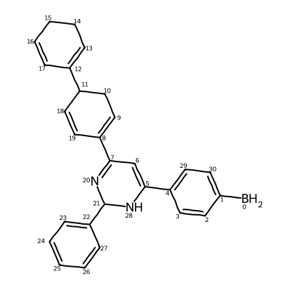 Bc1ccc(C2=CC(C3=CCC(C4=CCCC=C4)C=C3)=NC(c3ccccc3)N2)cc1